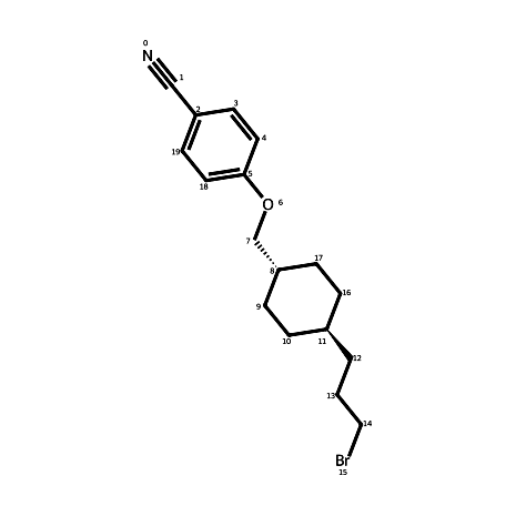 N#Cc1ccc(OC[C@H]2CC[C@H](CCCBr)CC2)cc1